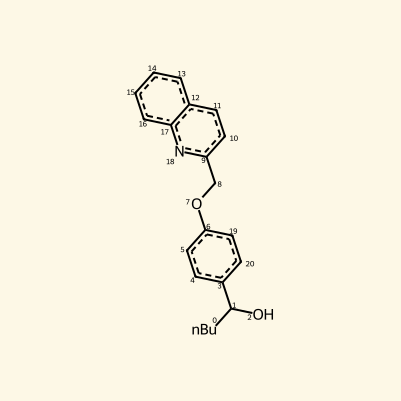 CCCCC(O)c1ccc(OCc2ccc3ccccc3n2)cc1